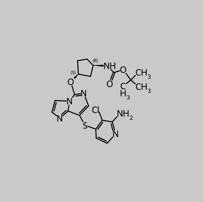 CC(C)(C)OC(=O)N[C@@H]1CC[C@H](Oc2ncc(Sc3ccnc(N)c3Cl)c3nccn23)C1